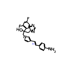 Nc1ccc(/C=C/c2ccn(CC(O)(Cn3cncn3)c3ccc(F)cc3F)c2)cc1